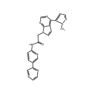 Cn1nccc1-c1ncnc2c1ccn2CC(=O)Nc1ccc(-c2cnccn2)cn1